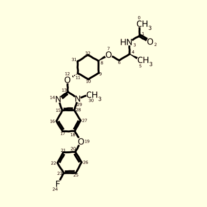 CC(=O)N[C@@H](C)CO[C@H]1CC[C@H](Oc2nc3ccc(Oc4ccc(F)cc4)cc3n2C)CC1